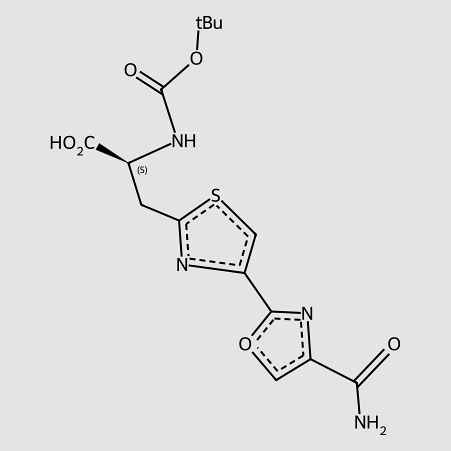 CC(C)(C)OC(=O)N[C@@H](Cc1nc(-c2nc(C(N)=O)co2)cs1)C(=O)O